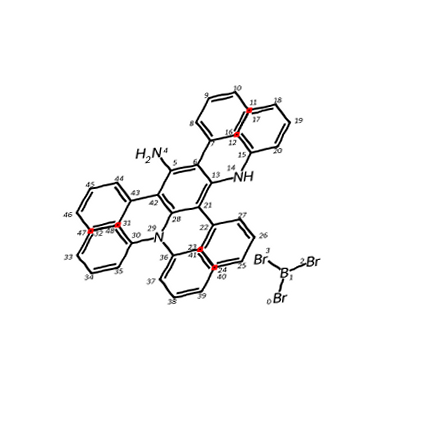 BrB(Br)Br.Nc1c(-c2ccccc2)c(Nc2ccccc2)c(-c2ccccc2)c(N(c2ccccc2)c2ccccc2)c1-c1ccccc1